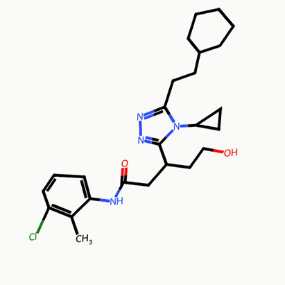 Cc1c(Cl)cccc1NC(=O)CC(CCO)c1nnc(CCC2CCCCC2)n1C1CC1